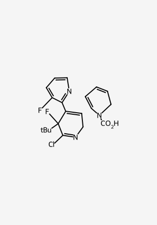 CC(C)(C)C1(F)C(c2ncccc2F)=CCN=C1Cl.O=C(O)N1C=CC=CC1